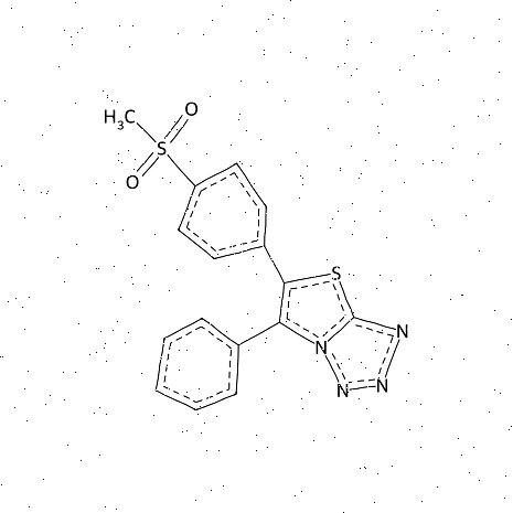 CS(=O)(=O)c1ccc(-c2sc3nnnn3c2-c2ccccc2)cc1